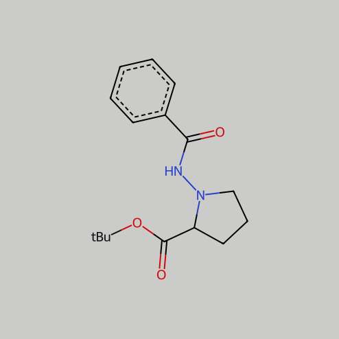 CC(C)(C)OC(=O)C1CCCN1NC(=O)c1ccccc1